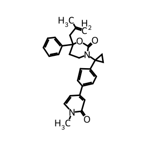 C=C(C)CC1(c2ccccc2)CCN(C2(c3ccc(-c4ccn(C)c(=O)c4)cc3)CC2)C(=O)O1